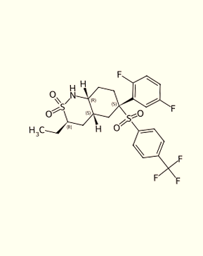 CC[C@@H]1C[C@H]2C[C@@](c3cc(F)ccc3F)(S(=O)(=O)c3ccc(C(F)(F)F)cc3)CC[C@H]2NS1(=O)=O